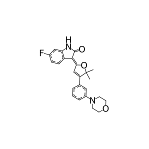 CC1(C)OC(=C2C(=O)Nc3cc(F)ccc32)C=C1c1cccc(N2CCOCC2)c1